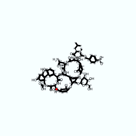 CC(C)C[C@H](C(=O)N[C@H]1C(=O)N[C@@H](CC(N)=O)C(=O)N[C@H]2C(=O)N[C@H]3C(=O)N[C@H](C(=O)N[C@H](C(=O)O)c4cc(O)cc(O)c4-c4cc3ccc4O)[C@H](O)c3ccc(c(Cl)c3)Oc3cc2cc(c3O[C@@H]2O[C@H](CO)[C@@H](O)[C@H](O)[C@H]2O)Oc2ccc(cc2Cl)[C@H]1O)N(C)C(=O)OCc1ccc([N+](=O)[O-])cc1